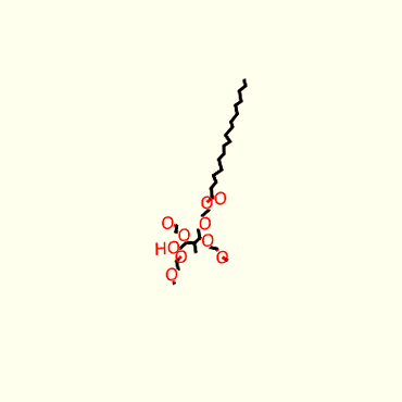 CCCCCCCCCCCCCCCCCC(=O)OCCOCC(OCCOC)C(C)C(OCCOC)C(O)OCCOC